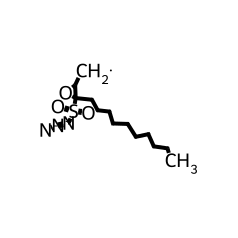 [CH2]C1OC1(CCCCCCCCCC)S(=O)(=O)N=[N+]=[N-]